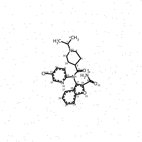 CC(C)N1CCC(C(=O)N(c2ccc(Cl)cn2)c2c(C(N)=O)oc3ccccc23)CC1